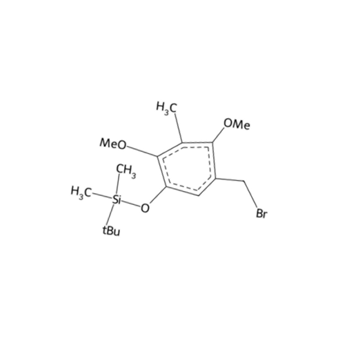 COc1c(CBr)cc(O[Si](C)(C)C(C)(C)C)c(OC)c1C